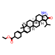 CCOC(=O)C1CC=C(C2=CC[C@]3(C)[C@H]4CC[C@@H]5C6=C(C(C)C)C(=O)C[C@]6(N)CC[C@@]5(C)[C@]4(C)CC[C@H]3C2(C)C)CC1